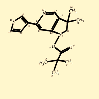 CC(C)(C)C(=O)ON1CC(C)(C)c2cnc(-c3ccsc3)cc21